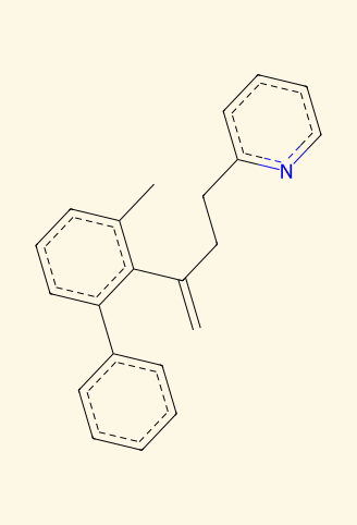 C=C(CCc1ccccn1)c1c(C)cccc1-c1ccccc1